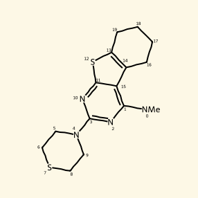 CNc1nc(N2CCSCC2)nc2sc3c(c12)CCCC3